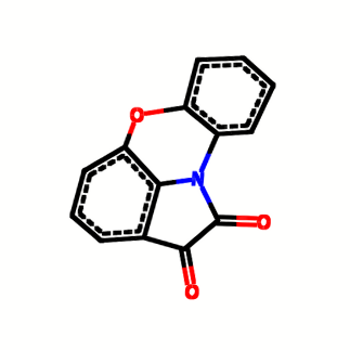 O=C1C(=O)N2c3ccccc3Oc3cccc1c32